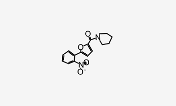 O=C(c1ccc(-c2ccccc2[N+](=O)[O-])o1)N1CCCCC1